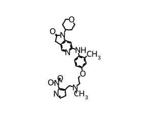 Cc1cc(OCCN(C)CC2=C([N+](=O)[O-])N=CC2)ccc1Nc1cc2c(cn1)CC(=O)N2C1CCOCC1